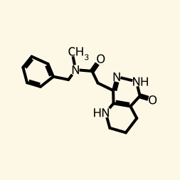 CN(Cc1ccccc1)C(=O)Cc1n[nH]c(=O)c2c1NCCC2